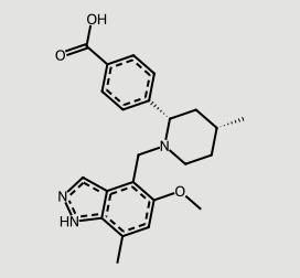 COc1cc(C)c2[nH]ncc2c1CN1CC[C@@H](C)C[C@H]1c1ccc(C(=O)O)cc1